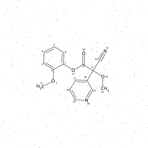 COc1ccccc1OC(=O)C(C#N)(OC)c1cccnc1